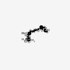 CC[C@@H]1C(=O)N(C)c2cnc(Nc3ccc(C(=O)NCCCCNC(=O)COc4cccc5c4C(=O)N(C4CCC(=O)NC4=O)C5=O)cc3OC)nc2N1C